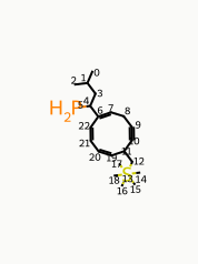 CC(C)CC(P)/C1=C/CC#CC(CS(C)(C)(C)(C)C)/C=C\C=C1